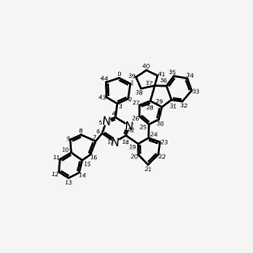 c1ccc(-c2nc(-c3ccc4ccccc4c3)nc(-c3ccccc3-c3ccc4c(c3)-c3ccccc3C43CCCC3)n2)cc1